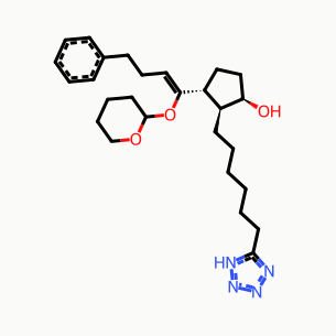 O[C@@H]1CC[C@@H](C(=CCCc2ccccc2)OC2CCCCO2)[C@@H]1CCCCCCc1nnn[nH]1